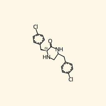 O=C1NC(Cc2ccc(Cl)cc2)CN[C@H]1Cc1ccc(Cl)cc1